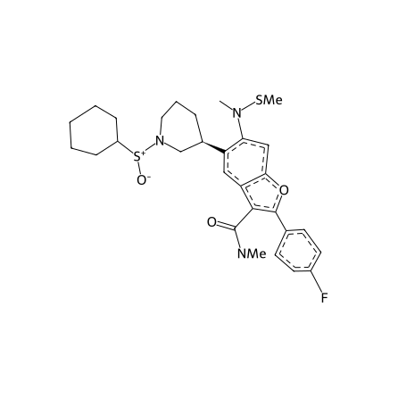 CNC(=O)c1c(-c2ccc(F)cc2)oc2cc(N(C)SC)c([C@@H]3CCCN([S+]([O-])C4CCCCC4)C3)cc12